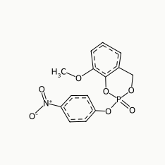 COc1cccc2c1OP(=O)(Oc1ccc([N+](=O)[O-])cc1)OC2